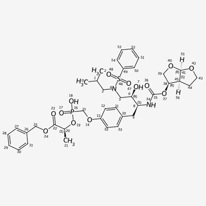 CC(C)CN(C[C@@H](O)[C@H](Cc1ccc(OCP(=O)(O)O[C@@H](C)C(=O)OCc2ccccc2)cc1)NC(=O)O[C@H]1CO[C@H]2OCC[C@H]21)S(=O)(=O)c1ccccc1